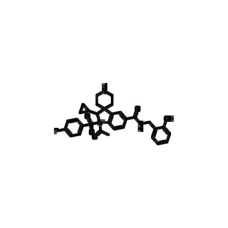 CC(=O)[N+]1(S(=O)(=O)c2ccc(F)cc2)c2ccc(C(=O)NCc3ccccc3O)cc2C2(CCNCC2)C1C1CC1